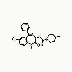 CC1CCN(C(=S)NC2N=C(c3ccccc3)c3cc(Cl)ccc3N(C)C2=O)CC1